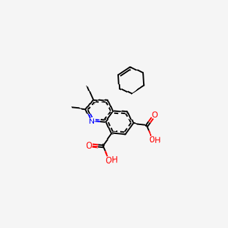 C1=CCCCC1.Cc1cc2cc(C(=O)O)cc(C(=O)O)c2nc1C